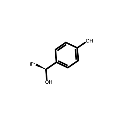 CC(C)[C@H](O)c1ccc(O)cc1